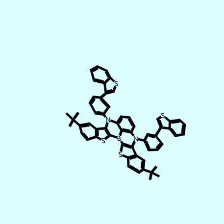 CC(C)(C)c1ccc2sc3c(c2c1)N(c1cccc(-c2csc4ccccc24)c1)c1cccc2c1B3c1sc3ccc(C(C)(C)C)cc3c1N2c1cccc(-c2csc3ccccc23)c1